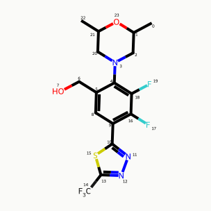 CC1CN(c2c(CO)cc(-c3nnc(C(F)(F)F)s3)c(F)c2F)CC(C)O1